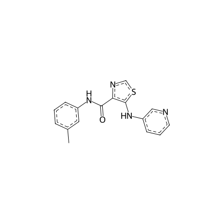 Cc1cccc(NC(=O)c2ncsc2Nc2cccnc2)c1